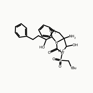 CC(O)C(N)(Cc1ccccc1)N(C(=O)OS(=O)(=O)CC(C)(C)C)C(N)C(O)CCc1ccccc1